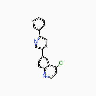 Clc1ccnc2ccc(-c3ccc(-c4ccccc4)nc3)cc12